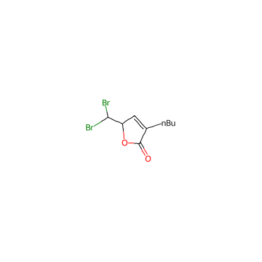 CCCCC1=CC(C(Br)Br)OC1=O